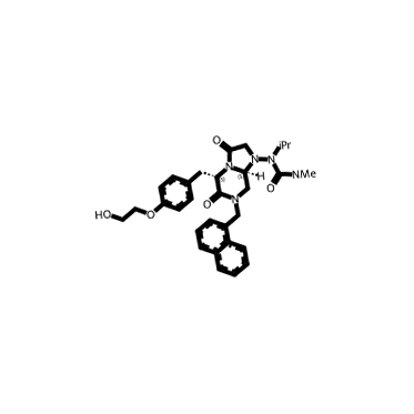 CNC(=O)N(C(C)C)N1CC(=O)N2[C@@H](Cc3ccc(OCCO)cc3)C(=O)N(Cc3cccc4ccccc34)C[C@@H]21